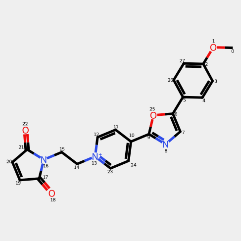 COc1ccc(-c2cnc(-c3cc[n+](CCN4C(=O)C=CC4=O)cc3)o2)cc1